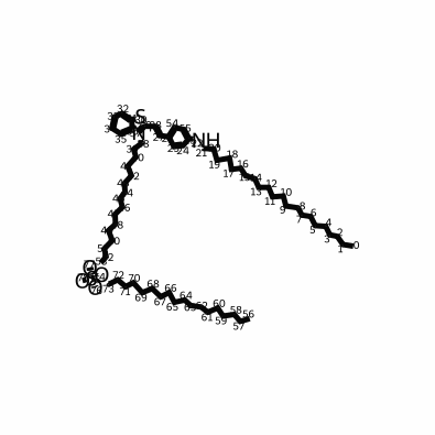 CCCCCCCCCCCCCCCCCCCCCCNc1ccc(/C=C/c2sc3ccccc3[n+]2CCCCCCCCCCCCCCCC)cc1.CCCCCCCCCCCCCCCCCCOS(=O)(=O)[O-]